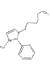 CCCCCn1cc[n+](C)c1-c1ccccc1